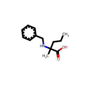 CCCC(C)(NCc1ccccc1)C(=O)O